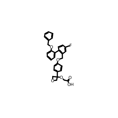 O=C(O)COC1(c2ccc(OCc3cc(F)ccc3-c3ccccc3OCc3ccccc3)cc2)COC1